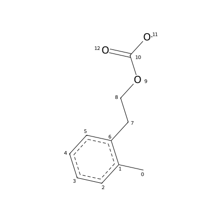 Cc1ccccc1CCOC([O])=O